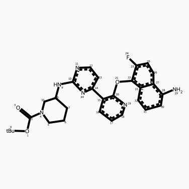 CC(C)(C)OC(=O)N1CCCC(Nc2nccc(-c3cccnc3Oc3c(F)ccc4c(N)cccc34)n2)C1